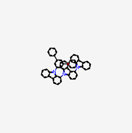 c1ccc(-c2cc(-c3ccccc3)cc(-n3c4ccccc4c4cccc(-n5c6ccccc6c6c(-n7c8ccccc8c8ccccc87)cccc65)c43)c2)cc1